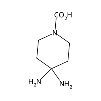 NC1(N)CCN(C(=O)O)CC1